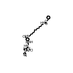 Cn1cc(-n2cnc3c(NCc4nc5cc(Cl)c(NCCCCCCCCCCCCCNC(=O)OCc6ccccc6)cc5[nH]4)nc(Cl)nc32)cn1